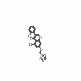 O=c1c(-c2ccccc2Cl)coc2cc(OCn3ncnn3)cc(Cl)c12